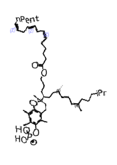 CCCCC/C=C\C/C=C\C/C=C\CCCCC(=O)OCCCC(CC[C@H](C)CCC[C@H](C)CCCC(C)C)[C@]1(C)CCc2c(C)c(OP(=O)(O)O)c(C)c(C)c2O1